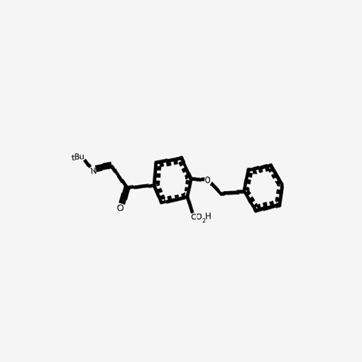 CC(C)(C)N=CC(=O)c1ccc(OCc2ccccc2)c(C(=O)O)c1